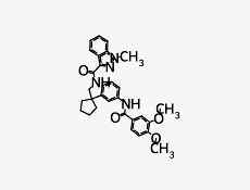 COc1ccc(C(=O)Nc2cccc(C3(CNC(=O)c4nn(C)c5ccccc45)CCCC3)c2)cc1OC